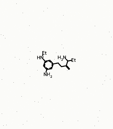 C=C(CCc1cc(N)cc(NCC)c1)C(N)CC